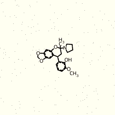 COc1cccc(C2CC(C)(N3CCCC3)Oc3cc4c(cc32)OCO4)c1O